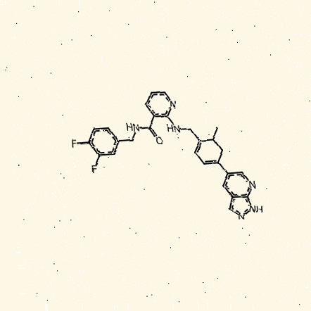 CC1CC(c2cnc3[nH]ncc3c2)=CC=C1CNc1ncccc1C(=O)NCc1ccc(F)c(F)c1